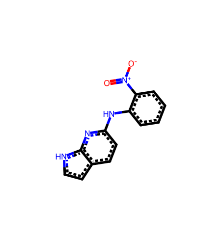 O=[N+]([O-])c1ccccc1Nc1ccc2cc[nH]c2n1